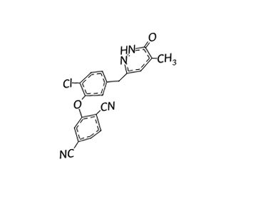 Cc1cc(Cc2ccc(Cl)c(Oc3cc(C#N)ccc3C#N)c2)n[nH]c1=O